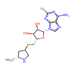 Nc1nc(Cl)nc2c1ncn2[C@@H]1O[C@H](CS[C@H]2CN[C@H](C(=O)O)C2)[C@@H](O)[C@H]1O